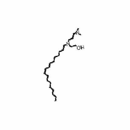 CCCCCCCC/C=C\CCCCCCCCN(CCO)CCCN(C)C